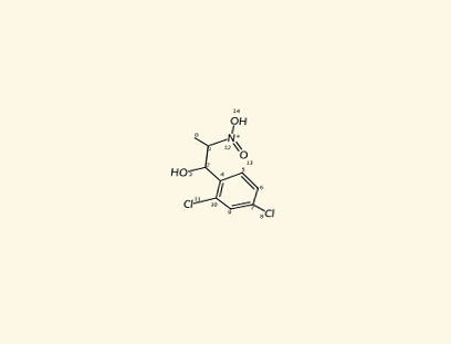 CC(C(O)c1ccc(Cl)cc1Cl)[N+](=O)O